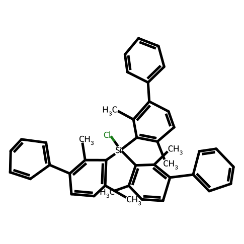 Cc1ccc(-c2ccccc2)c(C)c1[Si](Cl)(c1c(C)ccc(-c2ccccc2)c1C)c1c(C)ccc(-c2ccccc2)c1C